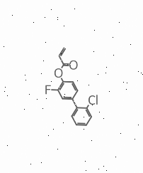 C=CC(=O)Oc1ccc(-c2ccccc2Cl)cc1F